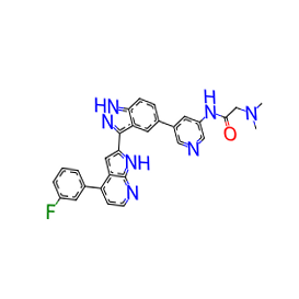 CN(C)CC(=O)Nc1cncc(-c2ccc3[nH]nc(-c4cc5c(-c6cccc(F)c6)ccnc5[nH]4)c3c2)c1